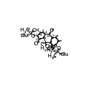 CC1(C)c2c(ccc(O[Si](C)(C)C(C)(C)C)c2Cl)C(=O)c2ccc(O[Si](C)(C)C(C)(C)C)c(Cl)c21